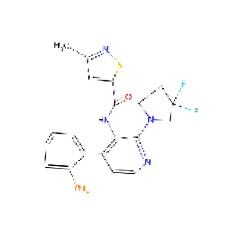 Cc1cc(C(=O)Nc2c(-c3ccccc3P)ccnc2N2CCC(F)(F)C2)sn1